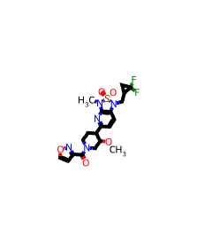 COC1CN(C(=O)c2ccon2)CCC1c1ccc2c(n1)N(C)S(=O)(=O)N2CC1CC1(F)F